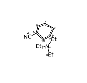 CCN(CC)CC.N#Cc1ccccc1